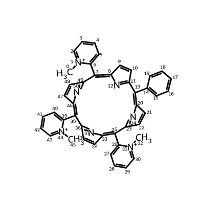 C[n+]1ccccc1C1=C2C=CC(=N2)C(c2ccccc2)=C2C=CC(=N2)C(c2cccc[n+]2C)=C2C=CC(=N2)C(c2cccc[n+]2C)=C2C=CC1=N2